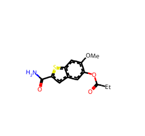 CCC(=O)Oc1cc2cc(C(N)=O)sc2cc1OC